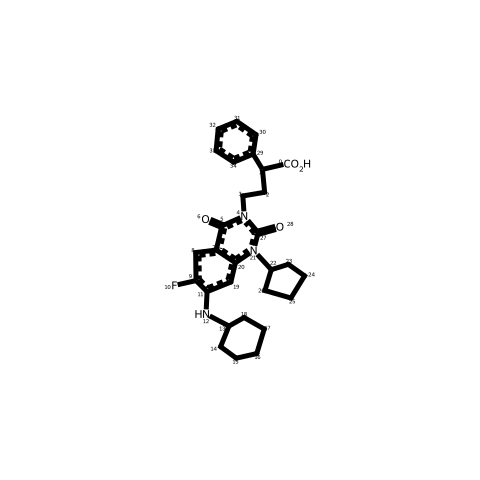 O=C(O)C(CCn1c(=O)c2cc(F)c(NC3CCCCC3)cc2n(C2CCCC2)c1=O)c1ccccc1